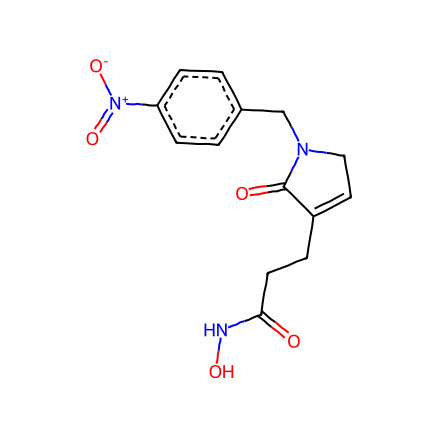 O=C(CCC1=CCN(Cc2ccc([N+](=O)[O-])cc2)C1=O)NO